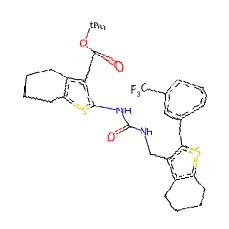 CC(C)(C)OC(=O)c1c(NC(=O)NCc2c(-c3cccc(C(F)(F)F)c3)sc3c2CCCC3)sc2c1CCCC2